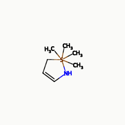 CS1(C)(C)(C)CC=CN1